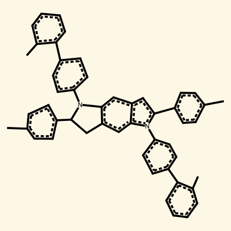 Cc1ccc(-c2cc3cc4c(cc3n2-c2ccc(-c3ccccc3C)cc2)CC(c2ccc(C)cc2)N4c2ccc(-c3ccccc3C)cc2)cc1